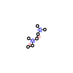 c1ccc(-c2nc(-c3ccccc3)nc(-c3ccc4c(c3)oc3ccc(-c5nc(-c6ccccc6)nc(-c6cccc7c6oc6ccccc67)n5)cc34)n2)cc1